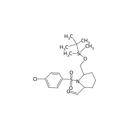 CC(C)(C)[Si](C)(C)OCC1CCCC(C=O)N1S(=O)(=O)c1ccc(Cl)cc1